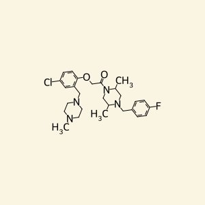 CC1CN(C(=O)COc2ccc(Cl)cc2CN2CCN(C)CC2)C(C)CN1Cc1ccc(F)cc1